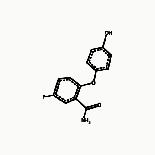 NC(=O)c1cc(F)ccc1Oc1ccc(O)cc1